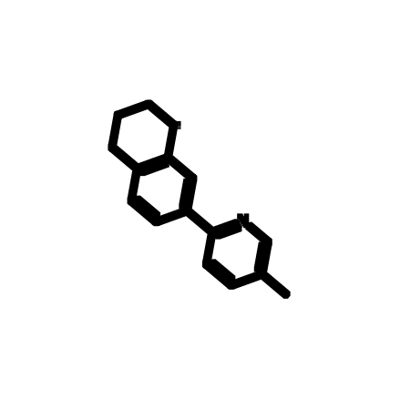 Cc1ccc(-c2ccc3c(c2)[C]CCC3)nc1